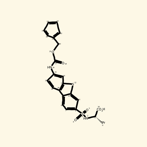 CC(C)[C@H](NS(=O)(=O)c1ccc2c(c1)sc1cc(NC(=O)OCc3ccccc3)ccc12)C(=O)O